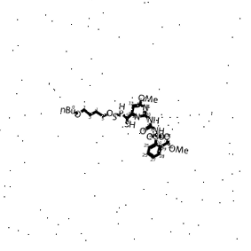 CCCCOCCCCOSPC(S)c1cc(OC)nc(NC(=O)NS(=O)(=O)c2ccccc2C(=O)OC)n1